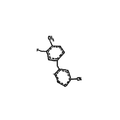 Cc1ccc(-c2[c]ccc(C#N)c2)cc1F